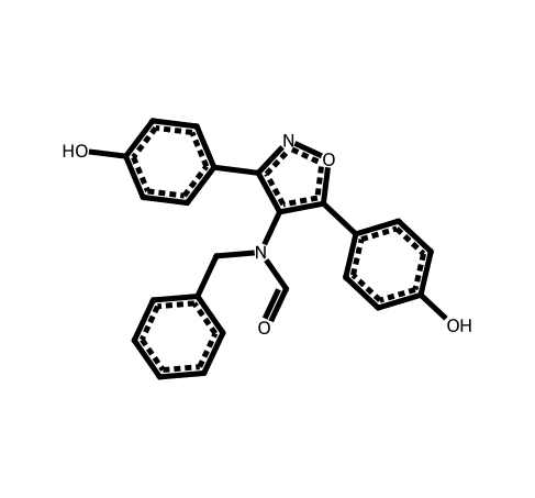 O=CN(Cc1ccccc1)c1c(-c2ccc(O)cc2)noc1-c1ccc(O)cc1